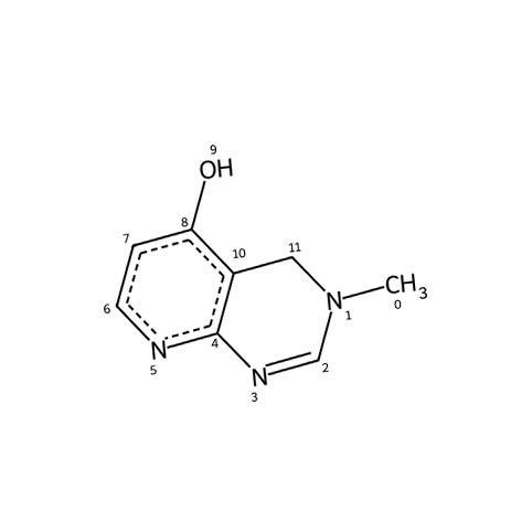 CN1C=Nc2nccc(O)c2C1